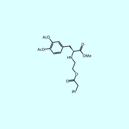 COC(=O)[C@H](Cc1ccc(OC(C)=O)c(OC(C)=O)c1)NCCOC(=O)CC(C)C